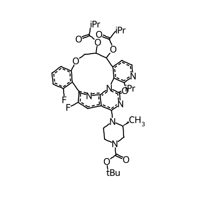 CC(C)C(=O)OC1COc2cccc(F)c2-c2nc3c(cc2F)c(N2CCN(C(=O)OC(C)(C)C)C[C@@H]2C)nc(=O)n3-c2c(ccnc2C(C)C)C1OC(=O)C(C)C